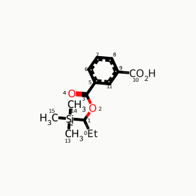 CC[C](OC(=O)c1cccc(C(=O)O)c1)[Si](C)(C)C